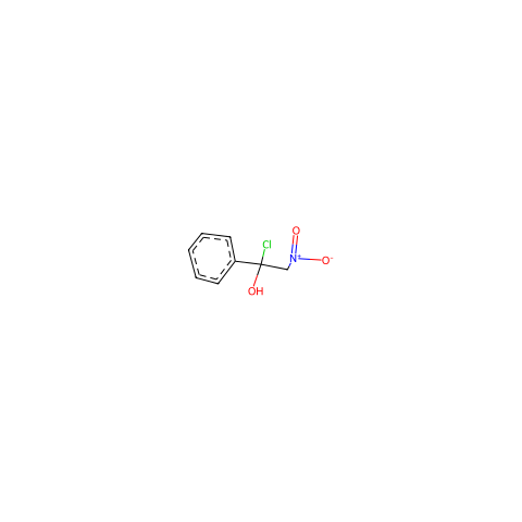 O=[N+]([O-])CC(O)(Cl)c1ccccc1